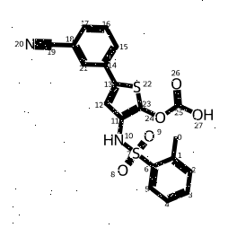 Cc1ccccc1S(=O)(=O)Nc1cc(-c2cccc(C#N)c2)sc1OC(=O)O